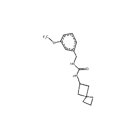 O=C(NCc1cccc(OC(F)(F)F)c1)NC1CC2(CCC2)C1